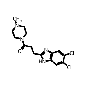 CN1CCN(C(=O)CCc2nc3cc(Cl)c(Cl)cc3[nH]2)CC1